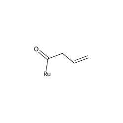 C=CC[C](=O)[Ru]